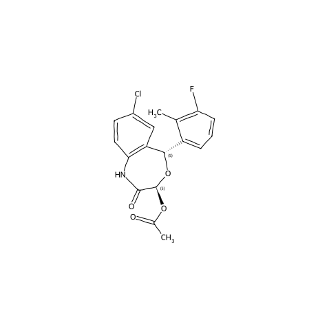 CC(=O)O[C@@H]1O[C@@H](c2cccc(F)c2C)c2cc(Cl)ccc2NC1=O